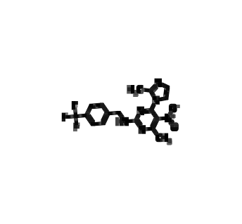 Cc1nc(NCc2ccc(C(F)(F)F)cc2)nc(-n2ccnc2C)c1[N+](=O)[O-]